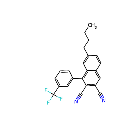 CCCCc1ccc2cc(C#N)c(C#N)c(-c3cccc(C(F)(F)F)c3)c2c1